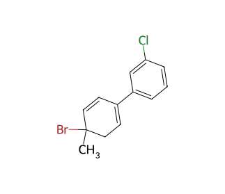 CC1(Br)C=CC(c2cccc(Cl)c2)=CC1